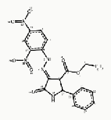 CCOC(=O)C1C(=NNc2ccc([N+](=O)[O-])cc2[N+](=O)[O-])C(=O)NC1c1ccccc1